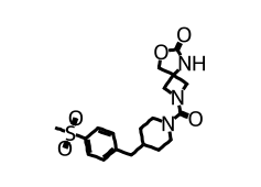 CS(=O)(=O)c1ccc(CC2CCN(C(=O)N3CC4(COC(=O)N4)C3)CC2)cc1